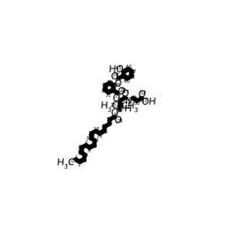 CC/C=C\C/C=C\C/C=C\C/C=C\C/C=C\CCCC(=O)OCC(C)(C)C(OC(=O)c1ccccc1OC(=O)c1ccccc1O)C(=O)NCCC(=O)O